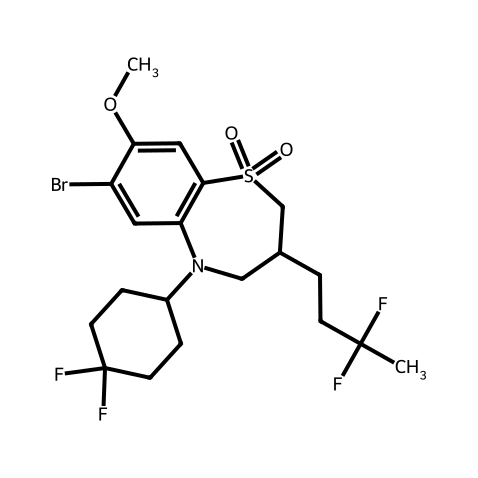 COc1cc2c(cc1Br)N(C1CCC(F)(F)CC1)CC(CCC(C)(F)F)CS2(=O)=O